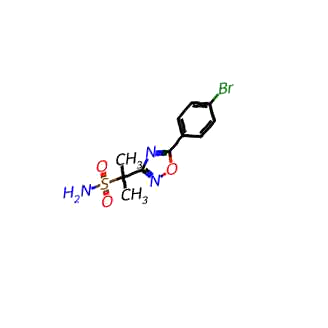 CC(C)(c1noc(-c2ccc(Br)cc2)n1)S(N)(=O)=O